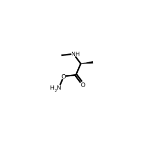 CN[C@@H](C)C(=O)ON